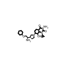 COc1c(N2CC[C@@H]([C@@H](N)COc3ccccc3)C2)ccc2c(=O)n(N)c(=O)n(C3CC3)c12